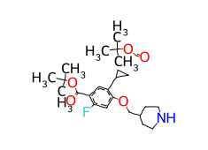 CC(C)(C)OC(=O)c1cc(C2CC2)c(OCC2CCNCC2)cc1F.CC(C)(C)OC=O